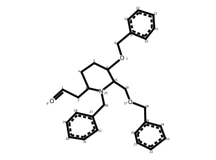 O=CCC1CCC(OCc2ccccc2)C(COCc2ccccc2)N1Cc1ccccc1